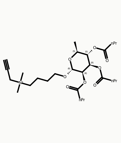 C#CC[N+](C)(C)CCCCO[C@@H]1O[C@@H](C)[C@H](OC(=O)CCC)[C@@H](OC(=O)CCC)[C@H]1OC(=O)CCC